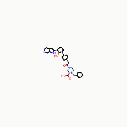 O=C(O)C1CN(C(=O)Cc2ccc(-c3cccc(-c4cc5ccncc5[nH]4)c3O)cc2)CCN1Cc1ccccc1